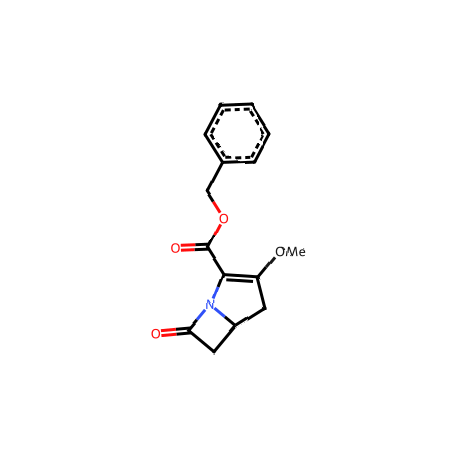 COC1=C(C(=O)OCc2ccccc2)N2C(=O)CC2C1